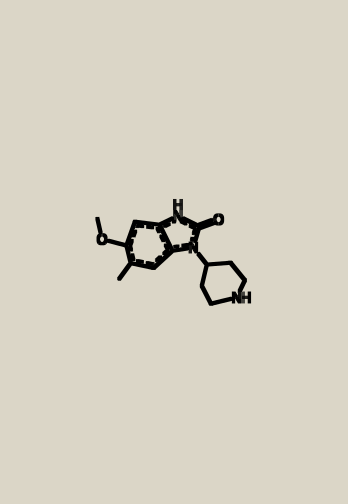 COc1cc2[nH]c(=O)n(C3CCNCC3)c2cc1C